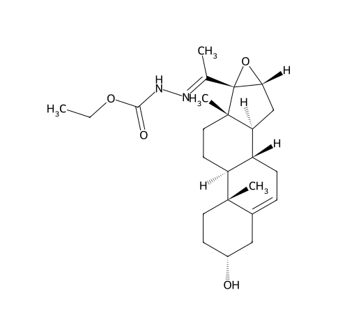 CCOC(=O)NN=C(C)[C@@]12O[C@@H]1C[C@H]1[C@@H]3CC=C4C[C@H](O)CC[C@]4(C)[C@H]3CC[C@@]12C